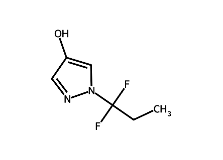 CCC(F)(F)n1cc(O)cn1